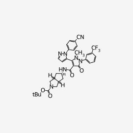 Cn1c(-c2ccnn2-c2ccc(C#N)cc2)c(C(=O)N[C@@H]2C[C@@H]3CN(C(=O)OC(C)(C)C)C[C@@H]3C2)c(=O)n1-c1cccc(C(F)(F)F)c1